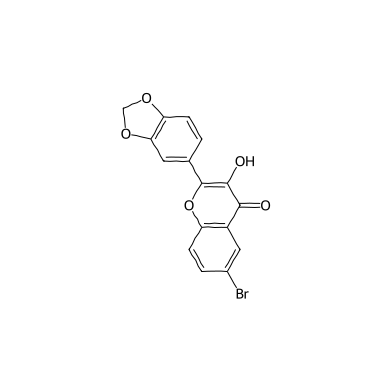 O=c1c(O)c(-c2ccc3c(c2)OCO3)oc2ccc(Br)cc12